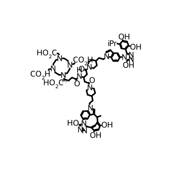 CC(C)c1cc(-c2nnc(O)n2-c2ccc3c(ccn3CCC3CCN(C(=O)CC(CC(=O)N4CCC(CCn5cc6c7cc(ccc75)-n5c(O)nnc5-c5cc(c(O)cc5O)C6C)CC4)NC(=O)CC[C@H](C(=O)O)N4CCN(CC(=O)O)CCN(CC(=O)O)CCN(CC(=O)O)CC4)CC3)c2)c(O)cc1O